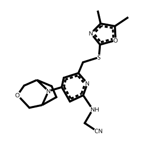 Cc1nc(SCc2cc(N3C4CCC3COC4)cc(NCC#N)n2)oc1C